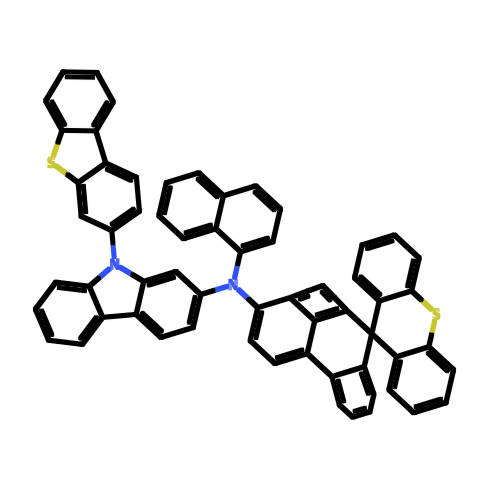 c1ccc2c(c1)Sc1ccccc1C21c2ccccc2-c2ccc(N(c3ccc4c5ccccc5n(-c5ccc6c(c5)sc5ccccc56)c4c3)c3cccc4ccccc34)c3cccc1c23